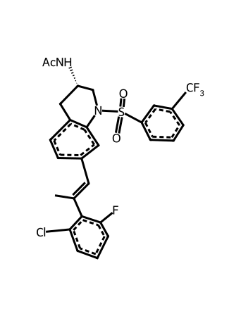 CC(=O)N[C@H]1Cc2ccc(C=C(C)c3c(F)cccc3Cl)cc2N(S(=O)(=O)c2cccc(C(F)(F)F)c2)C1